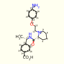 C[C@H](NC(=O)[C@H]1CCCCN1CCOc1ccc(N)cc1)c1ccc(C(=O)O)cc1